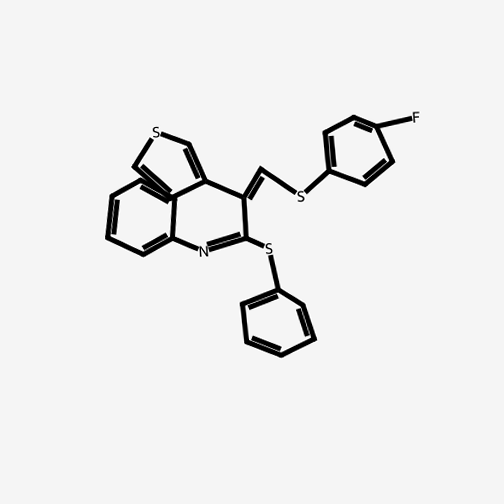 Fc1ccc(SC=C(C(=Nc2ccccc2)Sc2ccccc2)c2ccsc2)cc1